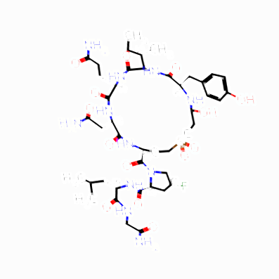 CC[C@H](C)[C@@H]1NC(=O)[C@@H](Cc2ccc(O)cc2)NC(O)CCS(=O)(=O)CC[C@@H](C(=O)N2C[C@H](F)C[C@H]2C(=O)N[C@@H](CC(C)C)C(=O)NCC(N)=O)NC(=O)[C@H](CC(N)=O)NC(=O)[C@H](CCC(N)=O)NC1=O